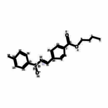 CCCCOC(=O)c1ccc(/C=N/[S@@+]([O-])c2ccc(C)cc2)cc1